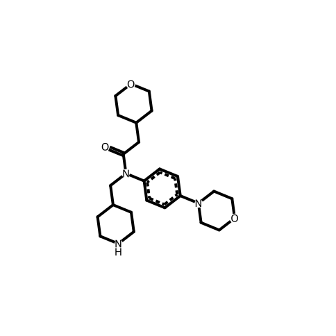 O=C(CC1CCOCC1)N(CC1CCNCC1)c1ccc(N2CCOCC2)cc1